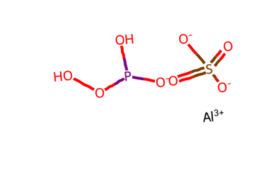 O=S(=O)([O-])[O-].[Al+3].[O-]P(O)OO